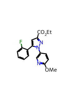 CCOC(=O)c1cc(-c2ccccc2F)n(-c2ccc(OC)nc2)n1